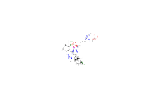 CN(Cc1ccc(C(F)(F)F)c(F)c1)[C@@H]1CN(C(=O)CCCCN2CCOCC2)C[C@@H]1c1cccc(Cl)c1